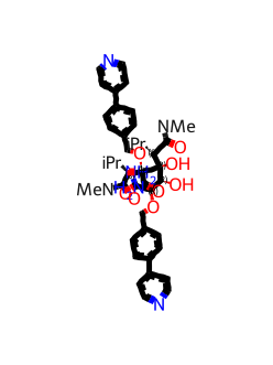 CNC(=O)[C@@H](C(C)C)[C@@](O)([C@H](O)[C@@H](OCc1ccc(-c2ccncc2)cc1)C(N)=O)[C@@](OCc1ccc(-c2ccncc2)cc1)(C(N)=O)[C@@H](C(=O)NC)C(C)C